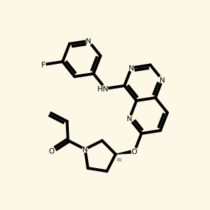 C=CC(=O)N1CC[C@H](Oc2ccc3ncnc(Nc4cncc(F)c4)c3n2)C1